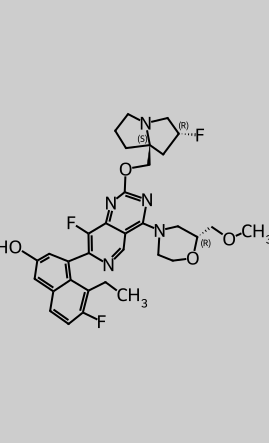 CCc1c(F)ccc2cc(O)cc(-c3ncc4c(N5CCO[C@@H](COC)C5)nc(OC[C@@]56CCCN5C[C@H](F)C6)nc4c3F)c12